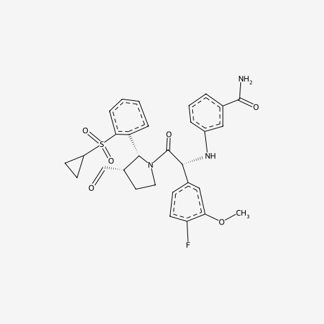 COc1cc([C@@H](Nc2cccc(C(N)=O)c2)C(=O)N2CC[C@H](C=O)[C@@H]2c2ccccc2S(=O)(=O)C2CC2)ccc1F